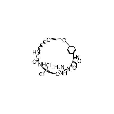 Cc1onc2c1C(=O)/N=C(\N)NCc1cc(Cl)c(c(Cl)c1)NC(=O)CNCCCC/C=C/COc1ccc-2cc1